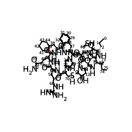 CCC[C@H](NC(=O)[C@@H](NC(=O)[C@@H]1C[C@@H](O)CN1C(=O)[C@@H]1CCCN1C(=O)[C@H](Cc1ccccc1)NC(=O)[C@H](CC1CCCCC1)NC(=O)[C@H](CCC(N)=O)NC(=O)[C@H](CCCNC(=N)N)NC(=O)[C@@H](N)CS)[C@@H](C)CC)C(=O)N[C@@H](CS)C(=O)O